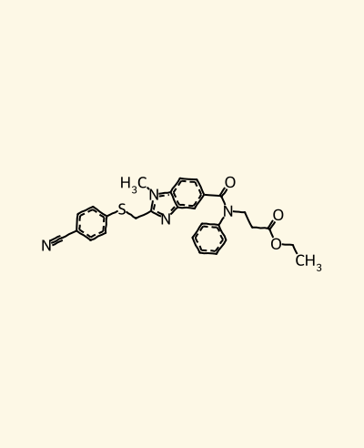 CCOC(=O)CCN(C(=O)c1ccc2c(c1)nc(CSc1ccc(C#N)cc1)n2C)c1ccccc1